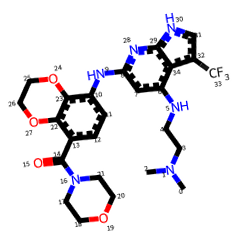 CN(C)CCNc1cc(Nc2ccc(C(=O)N3CCOCC3)c3c2OCCO3)nc2[nH]cc(C(F)(F)F)c12